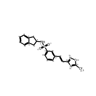 O=S(=O)(NC1Cc2ccccc2C1)c1cccc(/C=C/c2noc(C(F)(F)F)n2)c1